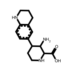 NC1C(C(=O)O)NCCC1c1ccc2c(c1)CCCN2